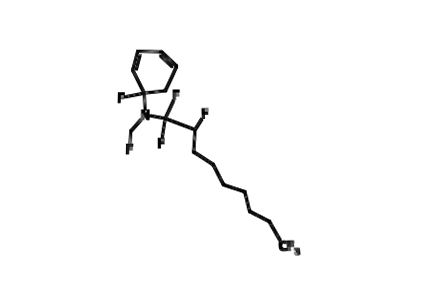 FCN(C1(F)C=CC=CC1)C(F)(F)C(F)CCCCCCC(F)(F)F